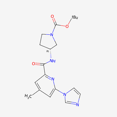 Cc1cc(C(=O)N[C@@H]2CCN(C(=O)OC(C)(C)C)C2)nc(-n2ccnc2)c1